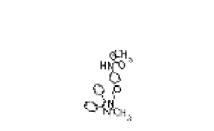 COC(=O)Nc1ccc(OCCn2c(C)nc(-c3ccccc3)c2-c2ccccc2)cc1